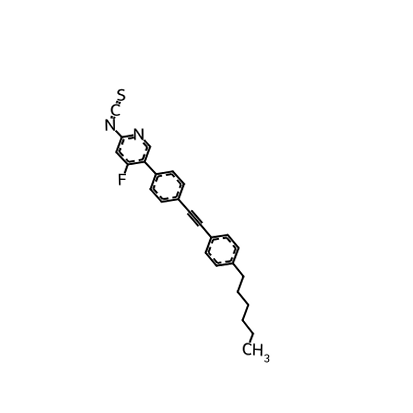 CCCCCCc1ccc(C#Cc2ccc(-c3cnc(N=C=S)cc3F)cc2)cc1